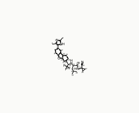 Cc1nc(C)c(-c2ccc3oc4cc(C(NC(CC(C)C)C(=O)NC5(C#N)CC5)C(F)(F)F)ccc4c3c2)[nH]1